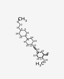 CCCCC1CCC(C2CCC(C#Cc3ccc(CC)c(F)c3)CC2)CC1